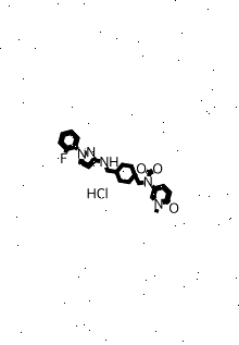 Cl.Cn1cc(N2CC3(CCC(CNc4ccn(-c5ccccc5F)n4)CC3)OC2=O)ccc1=O